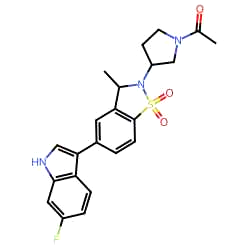 CC(=O)N1CCC(N2C(C)c3cc(-c4c[nH]c5cc(F)ccc45)ccc3S2(=O)=O)C1